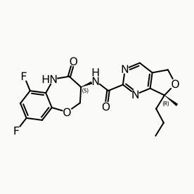 CCC[C@@]1(C)OCc2cnc(C(=O)N[C@H]3COc4cc(F)cc(F)c4NC3=O)nc21